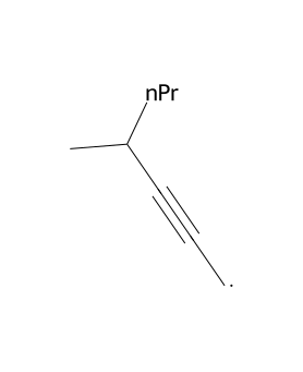 [CH2]C#CC(C)CCC